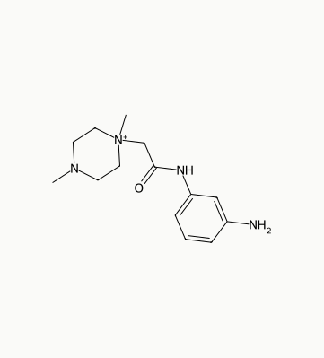 CN1CC[N+](C)(CC(=O)Nc2cccc(N)c2)CC1